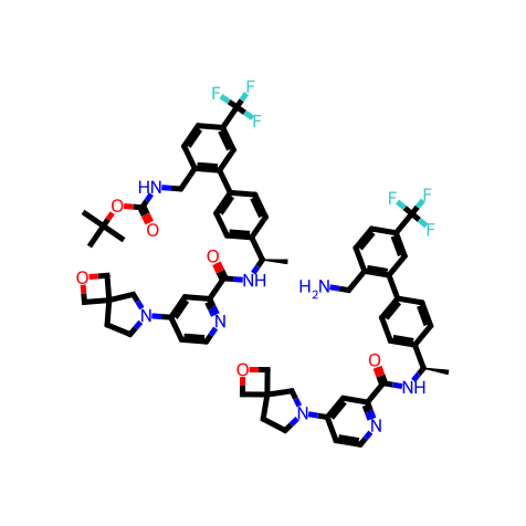 C[C@@H](NC(=O)c1cc(N2CCC3(COC3)C2)ccn1)c1ccc(-c2cc(C(F)(F)F)ccc2CN)cc1.C[C@@H](NC(=O)c1cc(N2CCC3(COC3)C2)ccn1)c1ccc(-c2cc(C(F)(F)F)ccc2CNC(=O)OC(C)(C)C)cc1